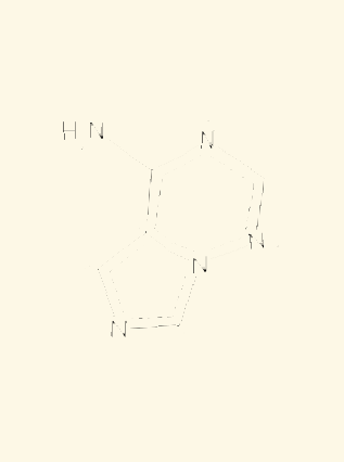 Nc1ncnn2cncc12